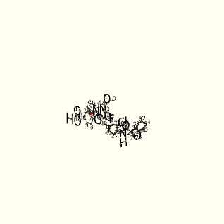 COC1CN(C(O[C@H]2CC[C@H](C(=O)O)CC2)(C(=O)Cc2ccc(NC(=O)c3coc4ccccc34)c(Cl)c2F)N2CCCC2)C1